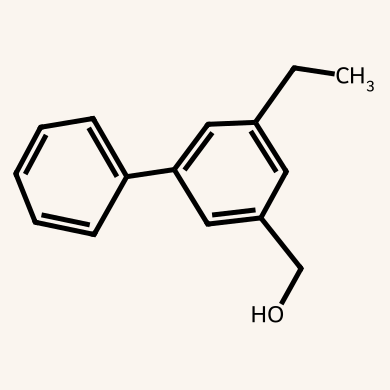 CCc1cc(CO)cc(-c2ccccc2)c1